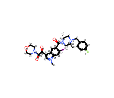 C[C@@H]1CN(Cc2ccc(F)cc2)[C@@H](C)CN1C(=O)c1cc2c(C(=O)C(=O)N3CCOCC3)cn(C)c2cc1I